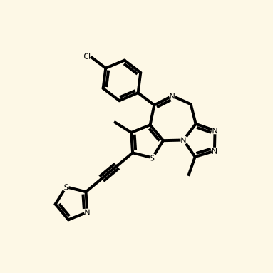 Cc1c(C#Cc2nccs2)sc2c1C(c1ccc(Cl)cc1)=NCc1nnc(C)n1-2